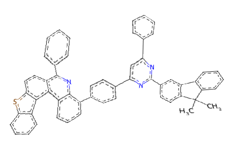 CC1(C)c2ccccc2-c2cc(-c3nc(-c4ccccc4)cc(-c4ccc(-c5cccc6c5nc(-c5ccccc5)c5ccc7sc8ccccc8c7c56)cc4)n3)ccc21